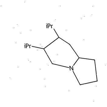 CC(C)C1CC2CCCN2CC1C(C)C